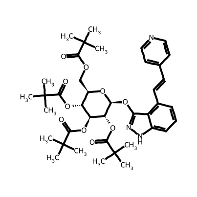 CC(C)(C)C(=O)OC[C@H]1O[C@@H](Oc2n[nH]c3cccc(C=Cc4ccncc4)c23)[C@H](OC(=O)C(C)(C)C)[C@@H](OC(=O)C(C)(C)C)[C@@H]1OC(=O)C(C)(C)C